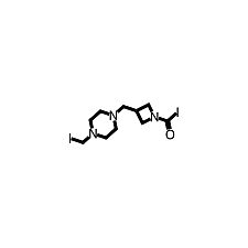 O=C(I)N1CC(CN2CCN(CI)CC2)C1